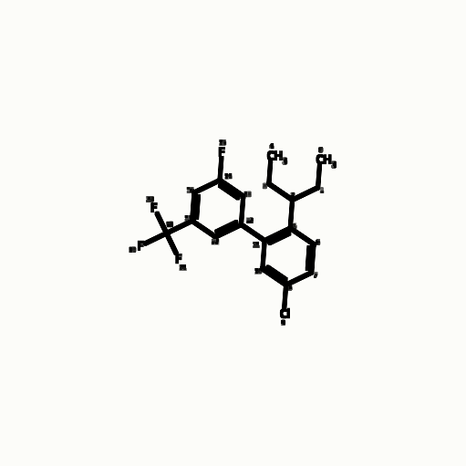 CCC(CC)c1ccc(Cl)cc1-c1cc(F)cc(C(F)(F)F)c1